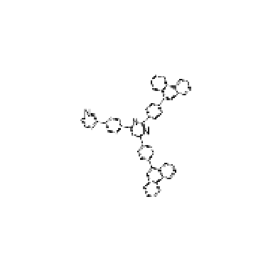 c1cncc(-c2ccc(-c3cc(-c4ccc(-c5cc6ccccc6c6ccccc56)cc4)nc(-c4ccc(-c5cc6ccccc6c6ccccc56)cc4)n3)cc2)c1